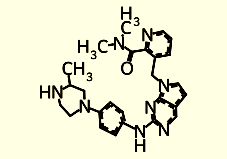 CC1CN(c2ccc(Nc3ncc4ccn(Cc5cccnc5C(=O)N(C)C)c4n3)cc2)CCN1